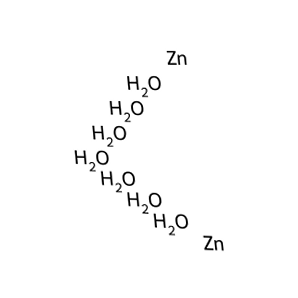 O.O.O.O.O.O.O.[Zn].[Zn]